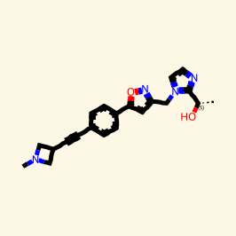 C[C@H](O)c1nccn1Cc1cc(-c2ccc(C#CC3CN(C)C3)cc2)on1